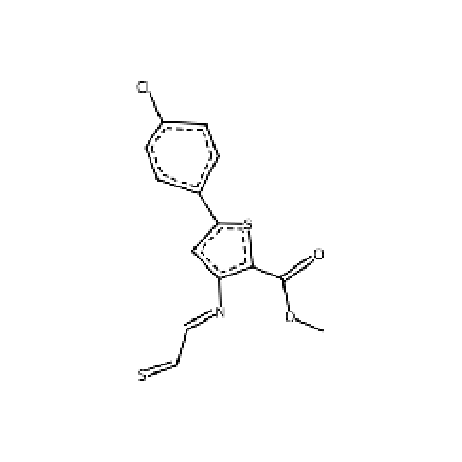 COC(=O)c1sc(-c2ccc(Cl)cc2)cc1N=CC=S